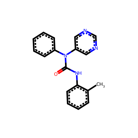 Cc1ccccc1NC(=O)N(c1ccccc1)c1cncnc1